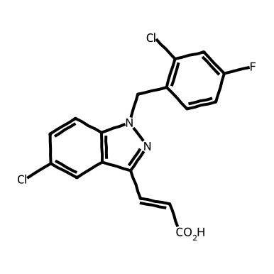 O=C(O)/C=C/c1nn(Cc2ccc(F)cc2Cl)c2ccc(Cl)cc12